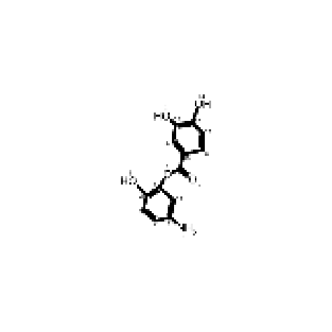 Nc1ccc(O)c(OC(=O)c2ccc(O)c(O)c2)c1